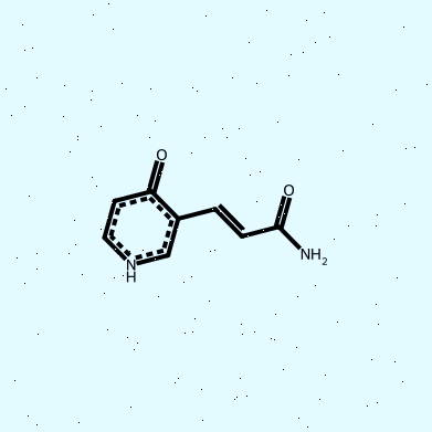 NC(=O)C=Cc1c[nH]ccc1=O